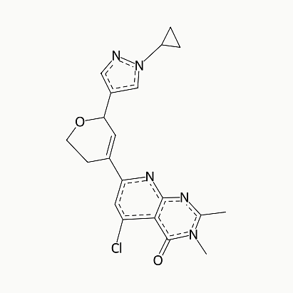 Cc1nc2nc(C3=CC(c4cnn(C5CC5)c4)OCC3)cc(Cl)c2c(=O)n1C